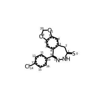 S=C1Cc2cc3c(cc2C(c2ccc(Cl)cc2)=NN1)OCO3